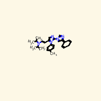 Cc1ccc(-n2c(CCN(C(C)C)C(C)C)cnc2-n2cnc(C3CCCCC3)c2)cc1